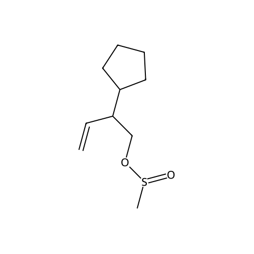 C=CC(COS(C)=O)C1CCCC1